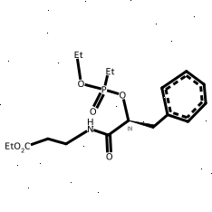 CCOC(=O)CCNC(=O)[C@H](Cc1ccccc1)OP(=O)(CC)OCC